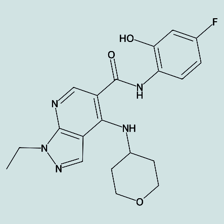 CCn1ncc2c(NC3CCOCC3)c(C(=O)Nc3ccc(F)cc3O)cnc21